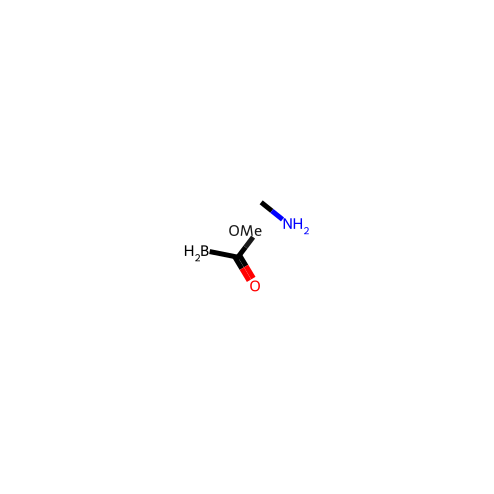 BC(=O)OC.CN